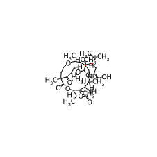 CC[C@H]1OC(=O)[C@]2(C)CCO[C@@](C)(C[C@@H](C)CN[C@H](C)[C@H]3NC(=O)O[C@@]31C)[C@H](O[C@@H]1O[C@H](CO)C[C@H](N(C)C)[C@H]1O)[C@@H](C)C2=O